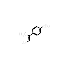 CC(=O)C=C(C)c1ccc(C(C)(C)C)cc1